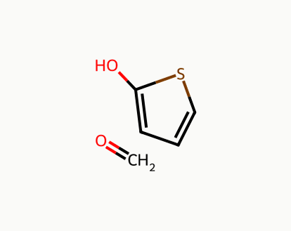 C=O.Oc1cccs1